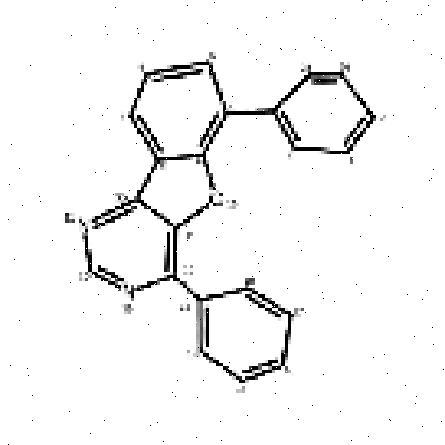 c1ccc(-c2cccc3c2oc2c(-c4ccccc4)ncnc23)cc1